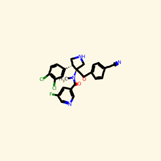 CN(C(=O)c1cncc(F)c1)[C@]1(C(=O)c2ccc(C#N)cc2)CNC[C@H]1c1ccc(Cl)c(Cl)c1